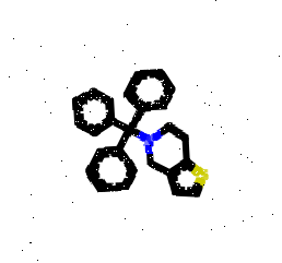 c1ccc(C(c2ccccc2)(c2ccccc2)N2CCc3sccc3C2)cc1